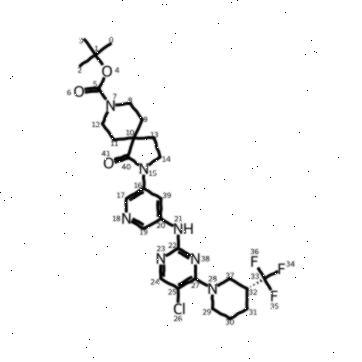 CC(C)(C)OC(=O)N1CCC2(CC1)CCN(c1cncc(Nc3ncc(Cl)c(N4CCC[C@@H](C(F)(F)F)C4)n3)c1)C2=O